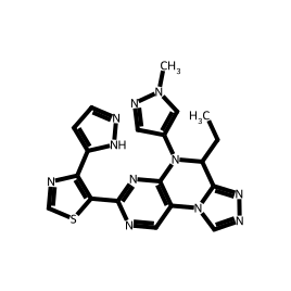 CCC1c2nncn2-c2cnc(-c3scnc3-c3ccn[nH]3)nc2N1c1cnn(C)c1